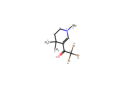 CC1(C)CCN(C(C)(C)C)C=C1C(=O)C(Br)(Br)Br